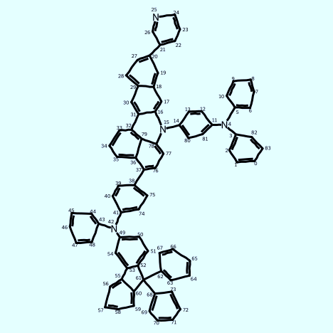 c1ccc(N(c2ccccc2)c2ccc(N3c4cc5cc(-c6cccnc6)ccc5cc4-c4cccc5c(-c6ccc(N(c7ccccc7)c7ccc8c(c7)-c7ccccc7C8(c7ccccc7)c7ccccc7)cc6)ccc3c45)cc2)cc1